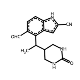 CC(c1c(C=O)ccc2[nH]c(C#N)cc12)C1CNC(=O)NC1